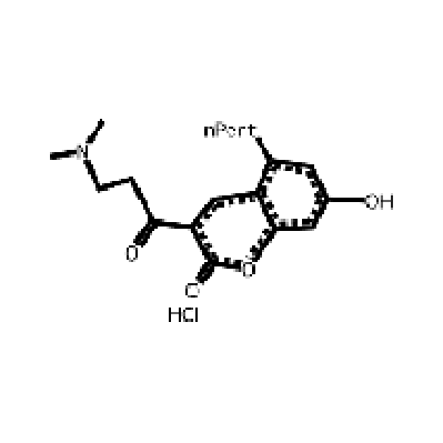 CCCCCc1cc(O)cc2oc(=O)c(C(=O)CCN(C)C)cc12.Cl